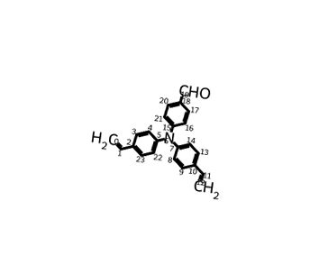 C=Cc1ccc(N(c2ccc(C=C)cc2)c2ccc(C=O)cc2)cc1